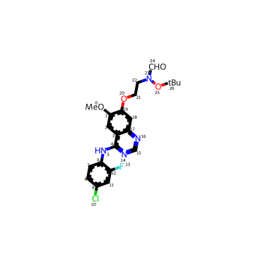 COc1cc2c(Nc3ccc(Cl)cc3F)ncnc2cc1OCCN(C=O)OC(C)(C)C